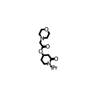 CC(C)N1CCC(OC(=O)CN2CCOCC2)CC1=O